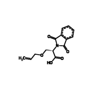 C=CCOC[C@@H](C(=O)O)N1C(=O)c2ccccc2C1=O